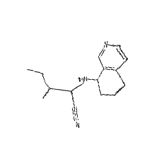 CCC(C)C(C#N)NC1CCCc2ccncc21